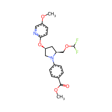 COC(=O)c1ccc(N2C[C@@H](Oc3ccc(OC)cn3)C[C@H]2COC(F)F)cc1